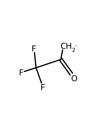 [CH2]C(=O)C(F)(F)F